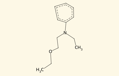 CCOCCN(CC)c1ccccc1